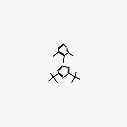 CC(C)(C)c1cccc(C(C)(C)C)n1.Cc1ccnc(C)c1C